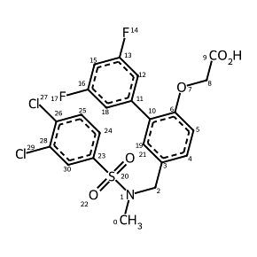 CN(Cc1ccc(OCC(=O)O)c(-c2cc(F)cc(F)c2)c1)S(=O)(=O)c1ccc(Cl)c(Cl)c1